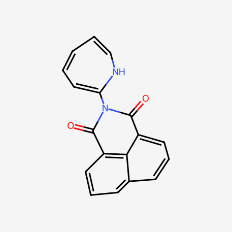 O=C1c2cccc3cccc(c23)C(=O)N1C1=CC=CC=CN1